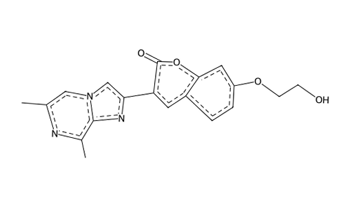 Cc1cn2cc(-c3cc4ccc(OCCO)cc4oc3=O)nc2c(C)n1